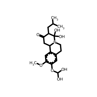 COc1cc2c(cc1OC(O)O)CCN1C2CC(=O)C(CC(C)C)C1(O)O